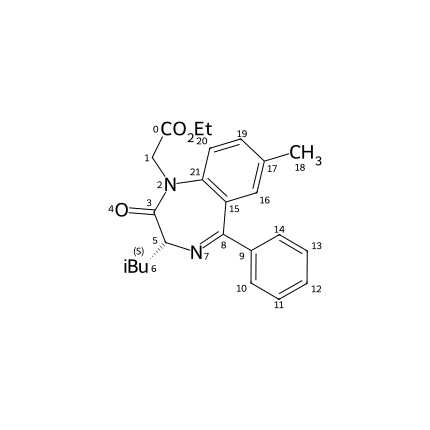 CCOC(=O)CN1C(=O)C([C@@H](C)CC)N=C(c2ccccc2)c2cc(C)ccc21